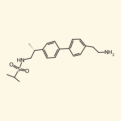 CC(C)S(=O)(=O)NC[C@H](C)c1ccc(-c2ccc(CCN)cc2)cc1